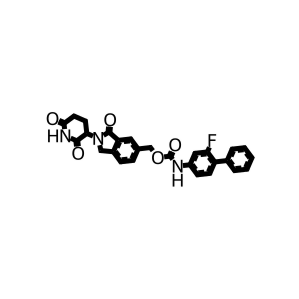 O=C1CCC(N2Cc3ccc(COC(=O)Nc4ccc(-c5ccccc5)c(F)c4)cc3C2=O)C(=O)N1